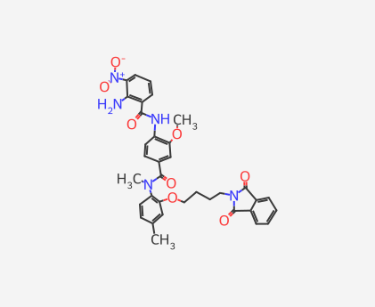 COc1cc(C(=O)N(C)c2ccc(C)cc2OCCCCN2C(=O)c3ccccc3C2=O)ccc1NC(=O)c1cccc([N+](=O)[O-])c1N